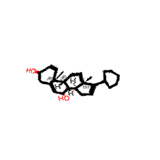 C[C@]12CCC(O)CC1=CC(O)[C@@H]1[C@H]2CC[C@]2(C)C(C3CCCCC3)=CC[C@@H]12